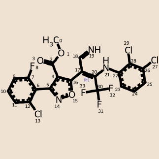 COC(=O)c1c(-c2c(F)cccc2Cl)noc1/C(C=N)=C(/Nc1cccc(Cl)c1Cl)C(F)(F)F